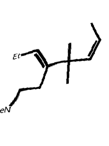 C/C=C\C(C)(C)/C(=C/CC)CCNC